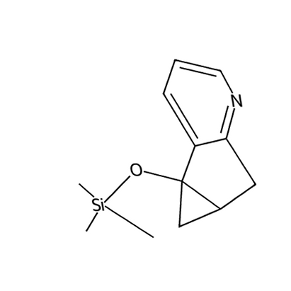 C[Si](C)(C)OC12CC1Cc1ncccc12